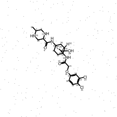 CC1CNC(C(=O)NC23CCC(NC(=O)COc4ccc(Cl)c(Cl)c4)(CC2)[C@@H](O)C3)CN1